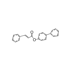 O=C(C=Cc1ccccc1)Oc1ccc(-c2ccccc2)cc1